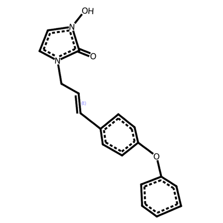 O=c1n(O)ccn1C/C=C/c1ccc(Oc2ccccc2)cc1